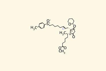 COC(=O)CCCCC(C)[C@H]1C(=O)C[C@H](OC2CCCCO2)[C@H]1C/C=C/CCCCC[S+]([O-])c1ccc(C)cc1